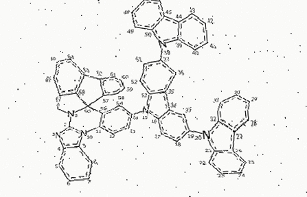 CN1c2nc3ccccc3n2-c2ccc(-n3c4ccc(-n5c6ccccc6c6ccccc65)cc4c4cc(-n5c6ccccc6c6ccccc65)ccc43)cc2C12c1ccccc1-c1ccccc12